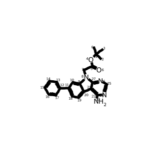 CC(C)(C)OC(=O)Cn1c2cc(-c3ccccc3)ccc2c2c(N)ncnc21